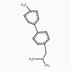 Cc1ccc(-c2ccc(CN(C)C)cc2)cc1